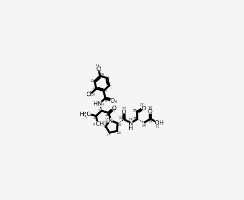 CC(C)[C@H](NC(=O)c1ccc(Cl)cc1Cl)C(=O)N1CCC[C@H]1C(=O)N[C@H](C=O)CC(=O)O